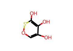 OC1=COSC(O)=C1O